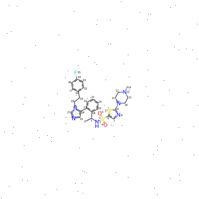 CC(NS(=O)(=O)c1cnc(N2CCN(C)CC2)s1)c1ccccc1-c1cncn1CCc1ccc(F)cc1